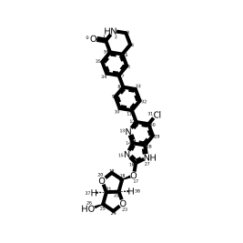 O=C1NCCc2cc(-c3ccc(-c4nc5nc(O[C@@H]6CO[C@H]7[C@@H]6OC[C@H]7O)[nH]c5cc4Cl)cc3)ccc21